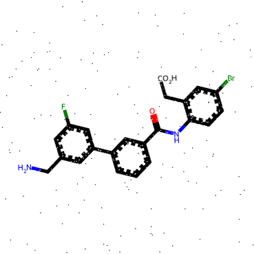 NCc1cc(F)cc(-c2cccc(C(=O)Nc3ccc(Br)cc3CC(=O)O)c2)c1